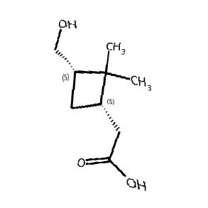 CC1(C)[C@H](CC(=O)O)C[C@@H]1CO